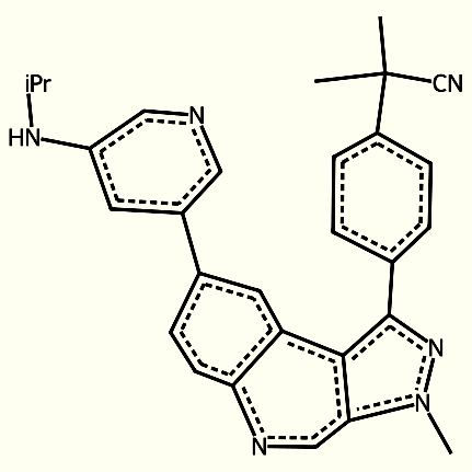 CC(C)Nc1cncc(-c2ccc3ncc4c(c(-c5ccc(C(C)(C)C#N)cc5)nn4C)c3c2)c1